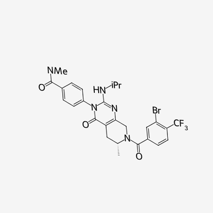 CNC(=O)c1ccc(-n2c(NC(C)C)nc3c(c2=O)C[C@@H](C)N(C(=O)c2ccc(C(F)(F)F)c(Br)c2)C3)cc1